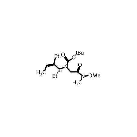 CC=C(CC)[C@@H](CC)N(CC(=O)N(C)OC)C(=O)OC(C)(C)C